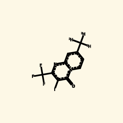 [2H]C([2H])([2H])c1ccn2c(=O)c(I)c(C(F)(F)F)nc2c1